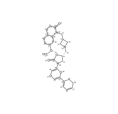 COc1ccc2ccc(=O)n(CC3CN(C[C@@H]4CN(C5=COC=C(C6=CC=CCC6)O5)C(=O)O4)C3)c2c1